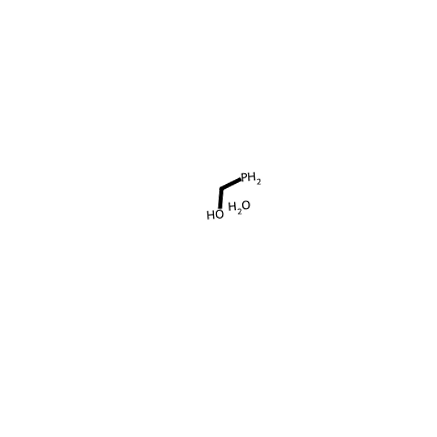 O.OCP